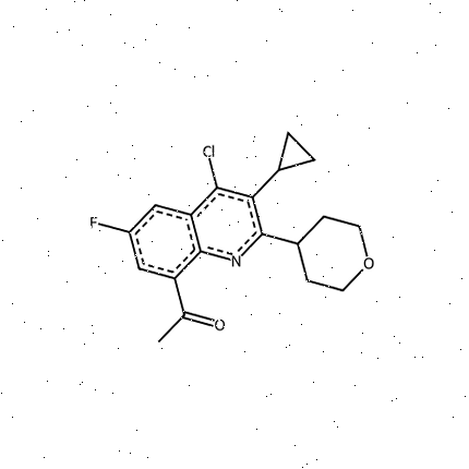 CC(=O)c1cc(F)cc2c(Cl)c(C3CC3)c(C3CCOCC3)nc12